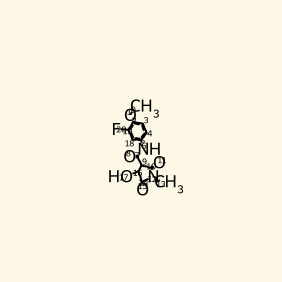 COc1ccc(NC(=O)C2C(=O)N(C)C(=O)C2O)cc1F